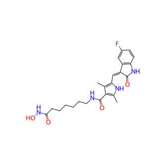 Cc1[nH]c(C=C2C(=O)Nc3ccc(F)cc32)c(C)c1C(=O)NCCCCCCC(=O)NO